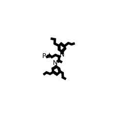 CCCCC(=N\c1cc(CCC)cc(CCC)c1)/C(C)=N/c1cc(CCC)cc(CCC)c1.[Pd]